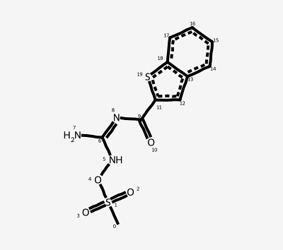 CS(=O)(=O)ONC(N)=NC(=O)c1cc2ccccc2s1